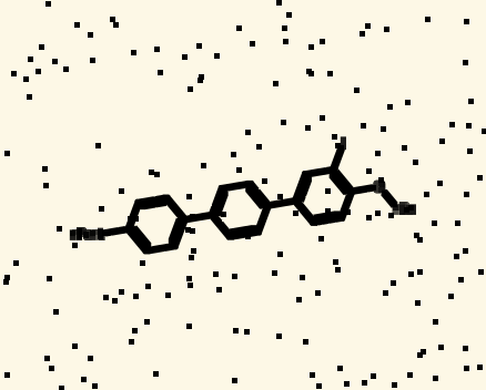 CCCCCc1ccc(-c2ccc(-c3ccc(OCCCC)c(I)c3)cc2)cc1